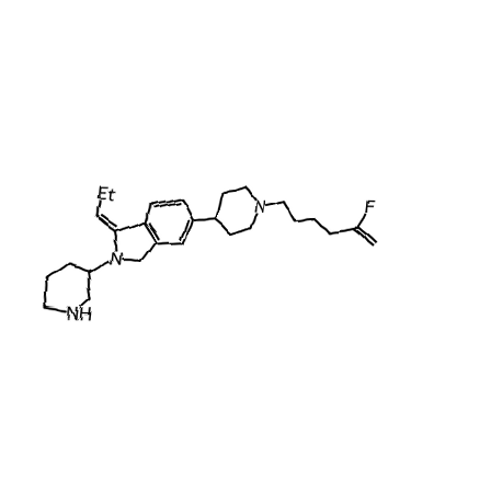 C=C(F)CCCCN1CCC(c2ccc3c(c2)CN(C2CCCNC2)/C3=C/CC)CC1